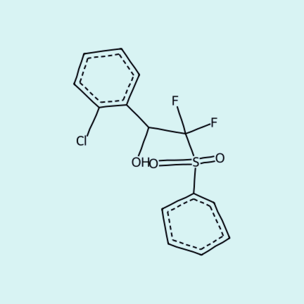 O=S(=O)(c1ccccc1)C(F)(F)C(O)c1ccccc1Cl